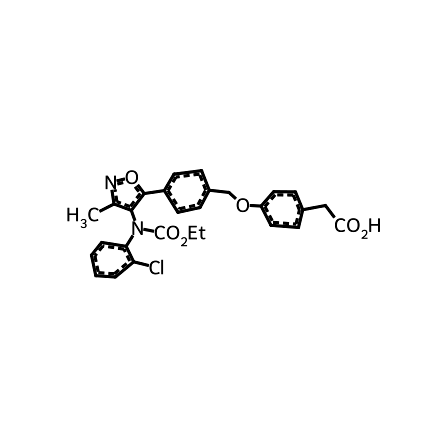 CCOC(=O)N(c1ccccc1Cl)c1c(C)noc1-c1ccc(COc2ccc(CC(=O)O)cc2)cc1